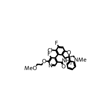 CNC[C@@]1(c2ccccc2)Cc2c(cc(F)c(Cl)c2-c2c(C(N)=O)cnc(OCCOC)c2F)O1